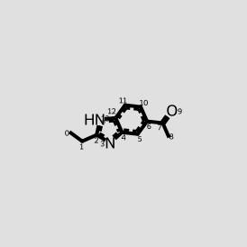 CCc1nc2cc(C(C)=O)ccc2[nH]1